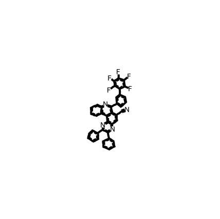 N#Cc1cc2nc(-c3ccccc3)c(-c3ccccc3)nc2c2c1c(-c1cccc(-c3c(F)c(F)c(F)c(F)c3F)c1)nc1ccccc12